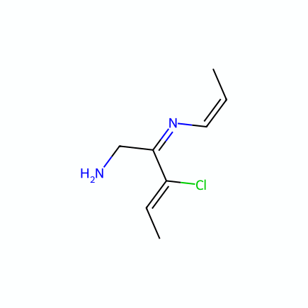 CC=C(Cl)/C(CN)=N\C=C/C